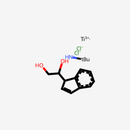 CC(C)(C)[NH-].OCC(O)C1C=Cc2ccccc21.[Cl-].[Cl-].[Ti+3]